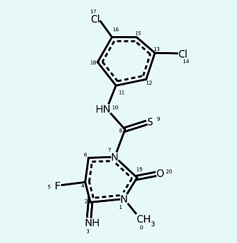 Cn1c(=N)c(F)cn(C(=S)Nc2cc(Cl)cc(Cl)c2)c1=O